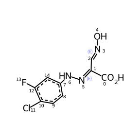 O=C(O)C(/C=N/O)=N/Nc1ccc(Cl)c(F)c1